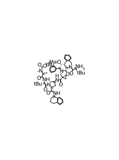 COC[C@@H](c1ccccc1)N(CC1(C(=O)N[C@H]2C[C@@H](C(=O)N[C@@H]3CCCc4ccccc43)N(C(=O)[C@@H](NC(=O)[C@H](C)N(C)C(=O)OC(C)(C)C)C(C)(C)C)C2)CC1)C(=O)[C@@H]1Cc2ccccc2CN1C(=O)[C@@H](N)C(C)(C)C